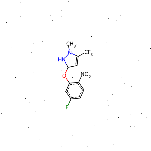 CN1NC(Oc2cc(F)ccc2[N+](=O)[O-])C=C1C(F)(F)F